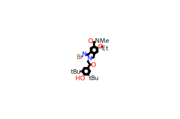 CCOc1cc2c(cc1C(=O)NC)/C(=N/Br)N(CC(=O)c1cc(C(C)(C)C)c(O)c(C(C)(C)C)c1)C2